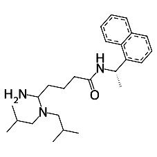 CC(C)CN(CC(C)C)C(N)CCCC(=O)N[C@@H](C)c1cccc2ccccc12